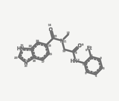 CCc1ccccc1NC(=O)CN(C)C(=O)c1ccc2nc[nH]c2c1